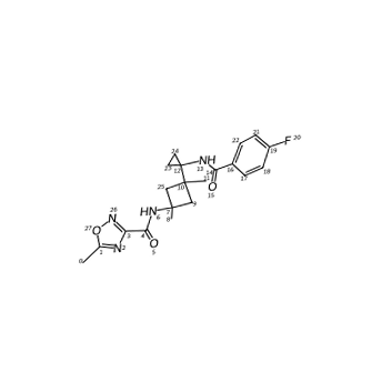 Cc1nc(C(=O)NC2(C)CC(C)(C3(NC(=O)c4ccc(F)cc4)CC3)C2)no1